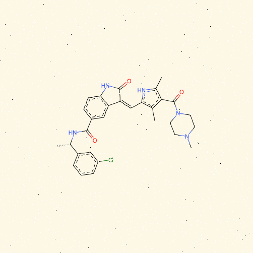 Cc1[nH]c(/C=C2\C(=O)Nc3ccc(C(=O)N[C@@H](C)c4cccc(Cl)c4)cc32)c(C)c1C(=O)N1CCN(C)CC1